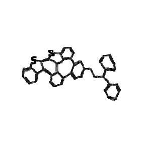 c1ccc(C(CCc2ccc3c(c2)-c2cccc4sc5c6sc7ccccc7c6c6cccc-3c6c5c24)c2ccccc2)cc1